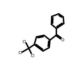 O=C(c1ccccc1)c1ccc(C(Cl)(Cl)Cl)cc1